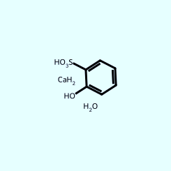 O.O=S(=O)(O)c1ccccc1O.[CaH2]